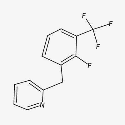 Fc1c(Cc2ccccn2)cccc1C(F)(F)F